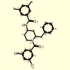 Cc1cc(C)cc(C(=O)NC2CCN(C(=O)c3cc(Cl)cc(Cl)c3)C(Cc3ccccc3)C2)c1